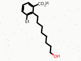 CCc1cccc(C(=O)O)c1CCCCCCCCO